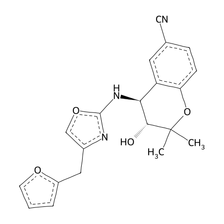 CC1(C)Oc2ccc(C#N)cc2[C@H](Nc2nc(Cc3ccco3)co2)[C@H]1O